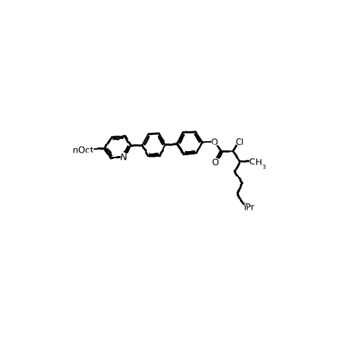 CCCCCCCCc1ccc(-c2ccc(-c3ccc(OC(=O)C(Cl)C(C)CCCC(C)C)cc3)cc2)nc1